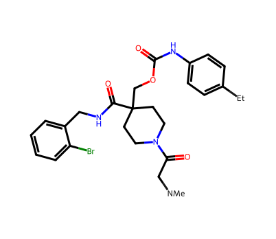 CCc1ccc(NC(=O)OCC2(C(=O)NCc3ccccc3Br)CCN(C(=O)CNC)CC2)cc1